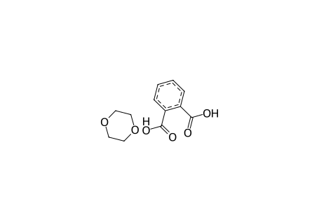 C1COCCO1.O=C(O)c1ccccc1C(=O)O